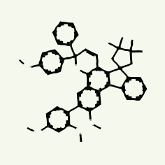 COc1ccc(C2(c3ccccc3)C=Cc3c4c(c5cc(SC)c(-c6ccc(OC)cc6OC)cc5c3O2)-c2ccccc2C42CC(C)(C)C(C)(C)C2)cc1